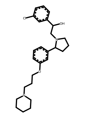 OC(CN1CCCC1c1cccc(OCCCN2CCCCC2)c1)c1cccc(Cl)c1